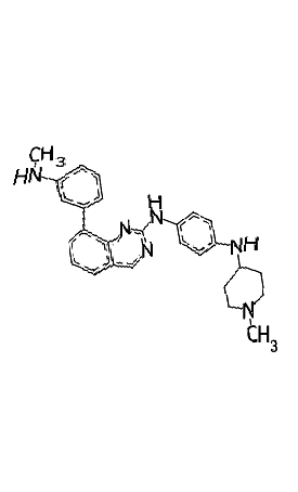 CNc1cccc(-c2cccc3cnc(Nc4ccc(NC5CCN(C)CC5)cc4)nc23)c1